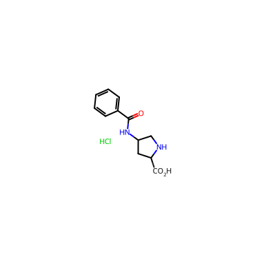 Cl.O=C(NC1CNC(C(=O)O)C1)c1ccccc1